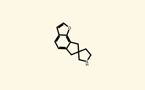 c1cc2ccc3c(c2o1)CC1(CCNC1)C3